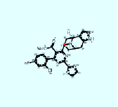 COC(=O)c1c(CN2C3COC[C@H]2c2cn[nH]c2C3)nc(-c2nccs2)nc1-c1ccc(F)cc1Cl